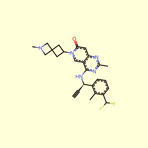 C#C[C@@H](Nc1nc(C)nc2cc(=O)n(C3CC4(C3)CN(C)C4)cc12)c1cccc(C(F)F)c1C